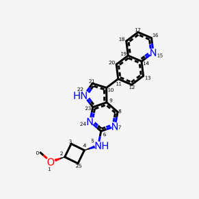 CO[C@H]1C[C@@H](Nc2ncc3c(-c4ccc5ncccc5c4)c[nH]c3n2)C1